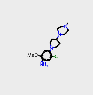 COc1cc(N2CCC(N3CCN(C)CC3)CC2)c(Cl)cc1N